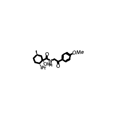 COc1ccc(C(=O)CNC(=O)[C@]2(O)C[C@H](C)CC[C@H]2C(C)C)cc1